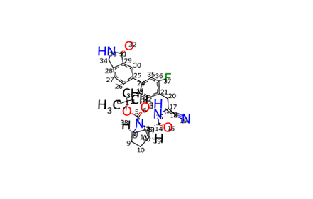 CC(C)(C)OC(=O)N1[C@@H]2CC[C@@H](C2)[C@H]1C(=O)N[C@H](C#N)Cc1ccc(-c2ccc3c(c2)C(=O)NC3)cc1F